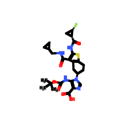 CC(C)(C)OC(=O)Nc1c(C(=O)O)ncn1[C@H]1CCc2sc(NC(=O)[C@@H]3C[C@@H]3F)c(C(=O)NCC3CC3)c2C1